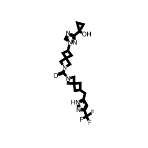 O=C(N1CC2(CC(Cc3cc(C(F)(F)F)n[nH]3)C2)C1)N1CC2(CC(n3cnc(C4(O)CC4)n3)C2)C1